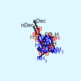 CCCCCCCCCCCCCCCC(=O)OC[C@H](CNC(CS)C(=O)NCC(=O)NC(CC(=O)O)C(=O)N1CCC[C@@H]1C(=O)NC(CCCCN)C(=O)NC(Cc1c[nH]cn1)C(=O)N1CCCC1C(=O)NC(CCCCN)C(=O)NC(CO)C(=O)NC(Cc1ccccc1)C(=O)O)OC(=O)CCCCCCCCCCCCCCC